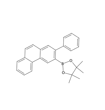 CC1(C)OB(c2cc3c(ccc4ccccc43)cc2-c2ccccc2)OC1(C)C